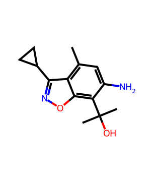 Cc1cc(N)c(C(C)(C)O)c2onc(C3CC3)c12